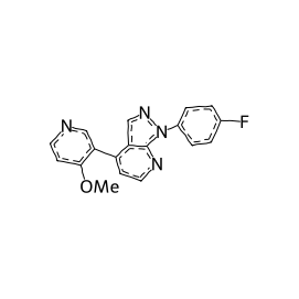 COc1ccncc1-c1ccnc2c1cnn2-c1ccc(F)cc1